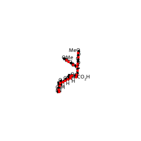 COCCOCCOCCOCCN(CCCCCn1cc(NC(=O)c2nc(NC(=O)CCNC(=O)c3cc(NC(=O)c4nccn4C)cn3C)cn2C)cc1C(=O)O)CCOCCOCCOCCOC